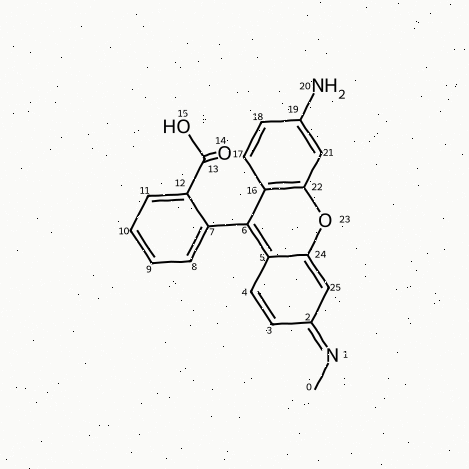 C/N=c1\ccc2c(-c3ccccc3C(=O)O)c3ccc(N)cc3oc-2c1